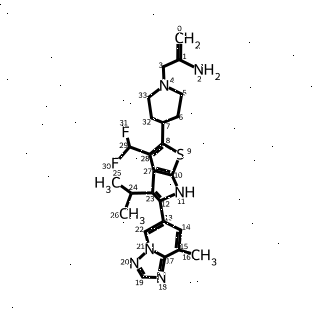 C=C(N)CN1CCC(c2sc3[nH]c(-c4cc(C)c5ncnn5c4)c(C(C)C)c3c2C(F)F)CC1